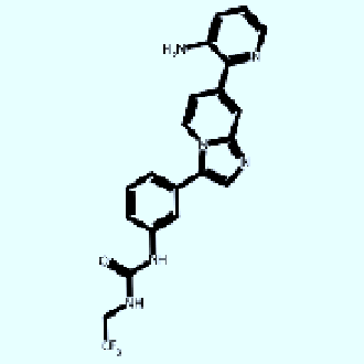 Nc1cccnc1-c1ccn2c(-c3cccc(NC(=O)NCC(F)(F)F)c3)cnc2c1